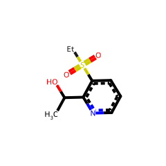 CCS(=O)(=O)c1cccnc1C(C)O